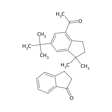 CC(=O)c1cc(C(C)(C)C)cc2c1CCC2(C)C.O=C1CCc2ccccc21